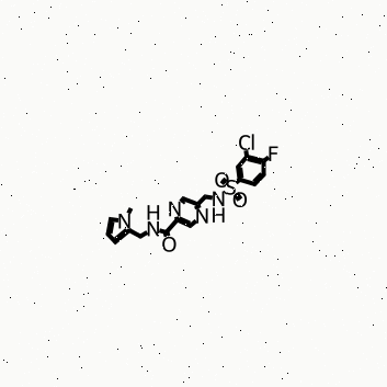 Cn1cccc1CNC(=O)c1cnc(CNS(=O)(=O)c2ccc(F)c(Cl)c2)cn1